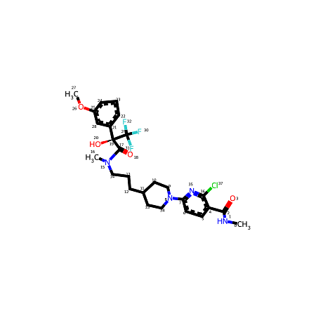 CNC(=O)c1ccc(N2CCC(CCCN(C)C(=O)[C@](O)(c3cccc(OC)c3)C(F)(F)F)CC2)nc1Cl